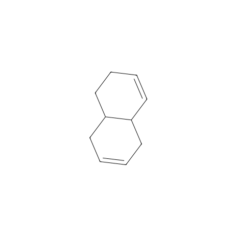 C1=CC2CC=CCC2CC1